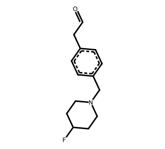 O=CCc1ccc(CN2CCC(F)CC2)cc1